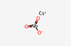 [Cs+].[O]=[Nb](=[O])[O-]